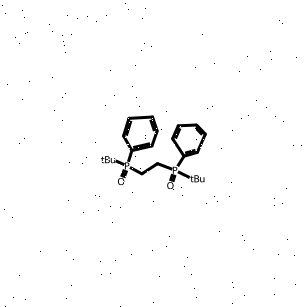 CC(C)(C)P(=O)(CCP(=O)(c1ccccc1)C(C)(C)C)c1ccccc1